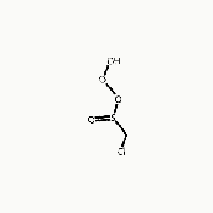 O=S(CCl)OOO